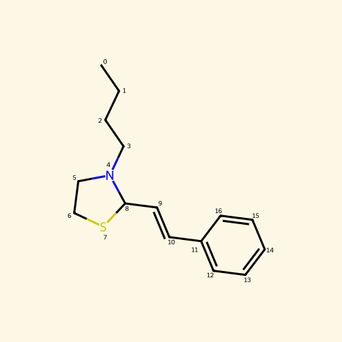 CCCCN1CCSC1/C=C/c1ccccc1